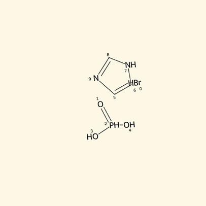 Br.O=[PH](O)O.c1c[nH]cn1